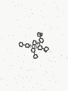 c1ccc(-c2ccc(N3c4ccc(-c5ccccc5)cc4B4c5ccc(C67CC8CC(CC6C8)C7)cc5N(c5cccc(C67CC8CC(CC6C8)C7)c5)c5cccc3c54)cc2)cc1